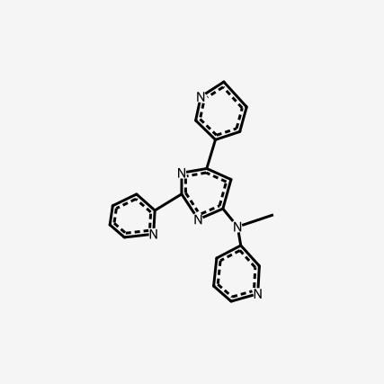 CN(c1cccnc1)c1cc(-c2cccnc2)nc(-c2ccccn2)n1